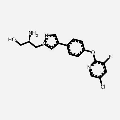 N[C@H](CO)Cn1cc(-c2ccc(Oc3ncc(Cl)cc3F)cc2)cn1